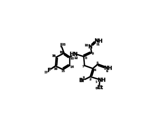 CCN/C(Br)=C(\C=N)C/C(=C/N=N)Nc1ccc(F)cc1I